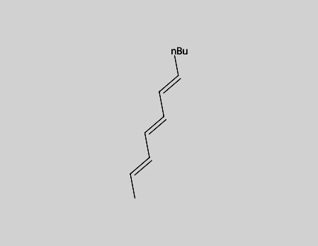 C/C=C/C=C/C=C/CCCC